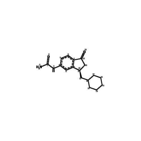 NC(=O)Nc1ccc2c(c1)[C@H](CC1CCCCC1)CC2=O